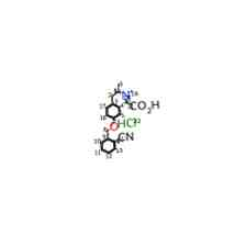 C[C@H](Cc1ccc(OCc2ccccc2C#N)cc1)N(C)CC(=O)O.Cl